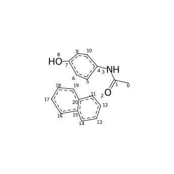 CC(=O)Nc1ccc(O)cc1.[c]1cccc2ccccc12